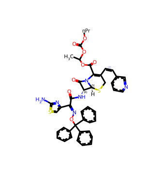 CCCOC(=O)OC(C)OC(=O)C1=C(/C=C\c2cccnc2)CS[C@H]2[C@H](NC(=O)C(=NOC(c3ccccc3)(c3ccccc3)c3ccccc3)c3csc(N)n3)C(=O)N12